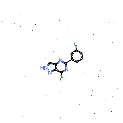 Clc1cccc(-c2nc(Cl)c3n[nH]cc3n2)c1